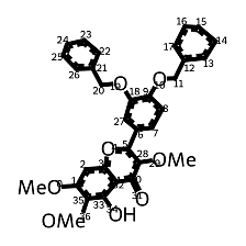 COc1cc2oc(-c3ccc(OCc4ccccc4)c(OCc4ccccc4)c3)c(OC)c(=O)c2c(O)c1OC